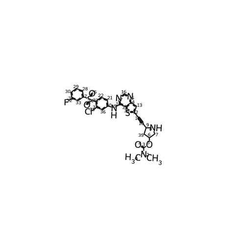 CN(C)C(=O)OC1CNC(C#Cc2cc3ncnc(Nc4ccc(S(=O)(=O)c5cccc(F)c5)c(Cl)c4)c3s2)C1